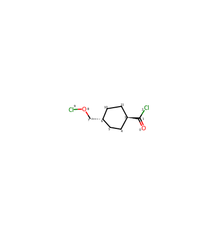 O=C(Cl)[C@H]1CC[C@H](COCl)CC1